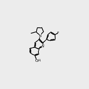 CC1CCCN1c1cc2ccc(O)cc2nc1-c1ccc(F)cc1